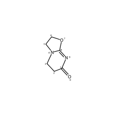 O=C1CCN2CCOC2=N1